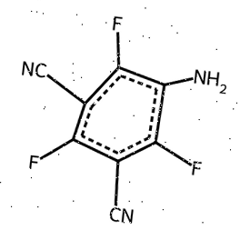 N#Cc1c(F)c(N)c(F)c(C#N)c1F